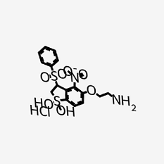 Cl.NCCOc1ccc2c(c1[N+](=O)[O-])C(S(=O)(=O)c1ccccc1)CS2(O)O